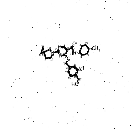 C[C@H]1CC[C@H](NC(=O)c2cnc(N3CCC4(CC4)C3)nc2OCc2ccc(CO)c(Cl)c2)CC1